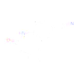 N#Cc1ccc2c(c1)C1CC1CC(=O)N2